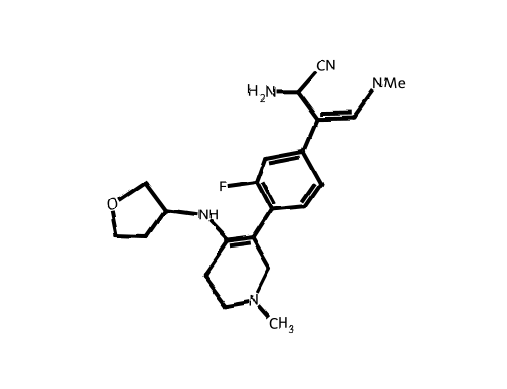 CN/C=C(/c1ccc(C2=C(NC3CCOC3)CCN(C)C2)c(F)c1)C(N)C#N